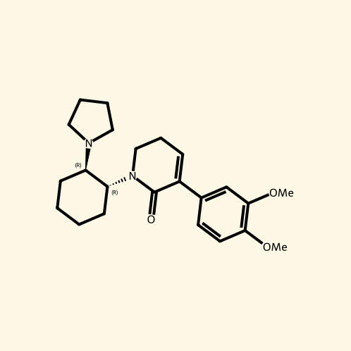 COc1ccc(C2=CCCN([C@@H]3CCCC[C@H]3N3CCCC3)C2=O)cc1OC